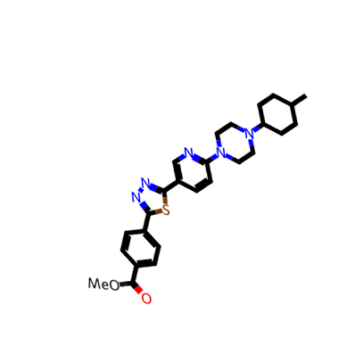 COC(=O)c1ccc(-c2nnc(-c3ccc(N4CCN(C5CCC(C)CC5)CC4)nc3)s2)cc1